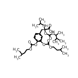 CC(C)CCOC(=O)Oc1ccc(C[C@](NC(C)C)(OC(=O)OC(C)C(C)C)C(=O)O)cc1OC(=O)OCCC(C)C